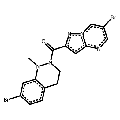 CN1c2cc(Br)ccc2CCN1C(=O)c1cc2ncc(Br)cn2n1